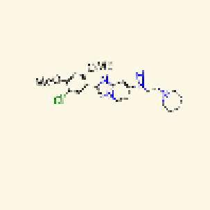 COc1cc(OC)c(-c2cn3ccc(NCCN4CCCCC4)cc3n2)cc1Cl